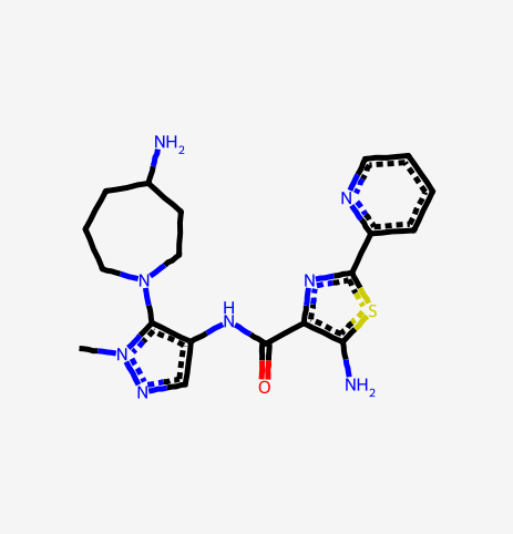 Cn1ncc(NC(=O)c2nc(-c3ccccn3)sc2N)c1N1CCCC(N)CC1